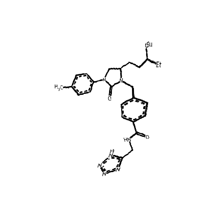 CCC(CCC1CN(c2ccc(C)cc2)C(=O)N1Cc1ccc(C(=O)NCc2nnn[nH]2)cc1)C(C)(C)C